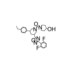 CCc1ccc(C2CC(c3nc(-c4c(F)cccc4F)no3)CN(C(=O)N3CCC(O)CC3)C2)cc1